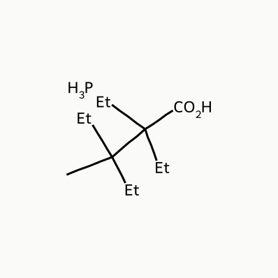 CCC(C)(CC)C(CC)(CC)C(=O)O.P